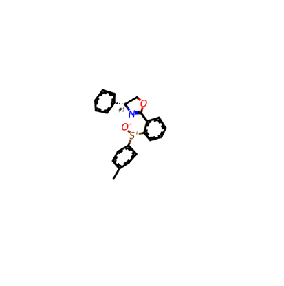 Cc1ccc([S+]([O-])c2ccccc2C2=N[C@H](c3ccccc3)CO2)cc1